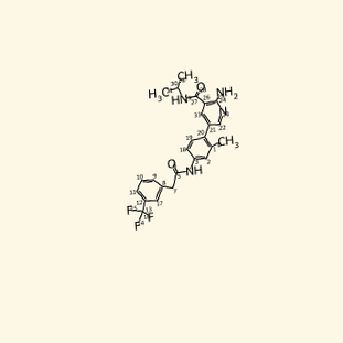 Cc1cc(NC(=O)Cc2cccc(C(F)(F)F)c2)ccc1-c1cnc(N)c(C(=O)NC(C)C)c1